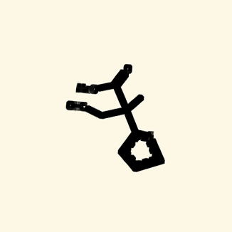 COC(=O)C(C)(CC=O)c1cccs1